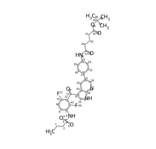 CCCS(=O)(=O)Nc1ccc(F)c(C(=O)c2c[nH]c3ncc(-c4ccc(NC(=O)CCCC(=O)OC(C)(C)C)cc4)cc23)c1F